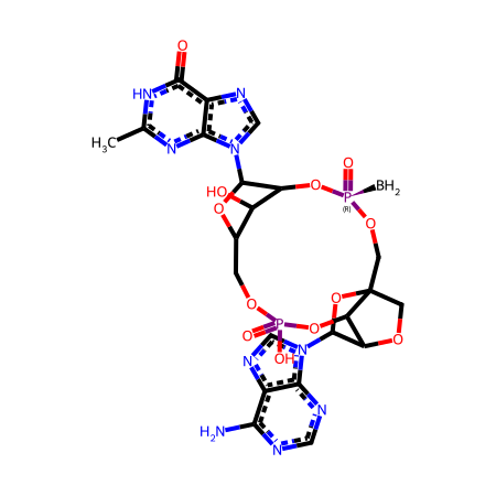 B[P@@]1(=O)OCC23COC(C(n4cnc5c(N)ncnc54)O2)C3OP(=O)(O)OCC2OC(n3cnc4c(=O)[nH]c(C)nc43)C(O1)C2O